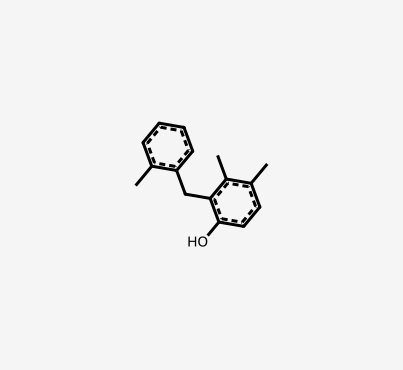 Cc1ccccc1Cc1c(O)ccc(C)c1C